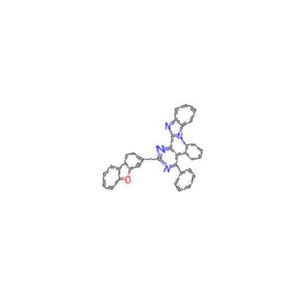 c1ccc(-c2nc(-c3ccc4c(c3)oc3ccccc34)nc3c2c2ccccc2n2c4ccccc4nc32)cc1